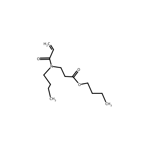 C=CC(=O)N(CCCC)CCC(=O)OCCCC